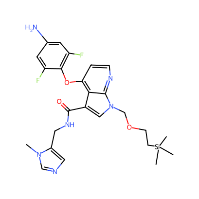 Cn1cncc1CNC(=O)c1cn(COCC[Si](C)(C)C)c2nccc(Oc3c(F)cc(N)cc3F)c12